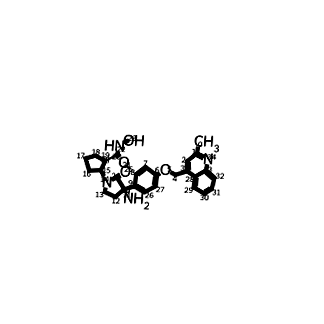 Cc1cc(COc2ccc([C@@]3(N)CCN(C4CCC[C@H]4C(=O)NO)C3=O)cc2)c2ccccc2n1